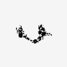 COc1cc(C(=O)NC2CCN(Cc3ccc(OCCOCCOCCNc4cccc5c4C(=O)N(C4CCC(=O)NC4=O)C5=O)cc3)CC2)c(F)cc1Nc1ncc2c(n1)N(C1CCCC1)CC(F)(F)C(=O)N2C